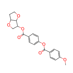 COc1ccc(C(=O)Oc2ccc(C(=O)OC3COC4CCOC43)cc2)cc1